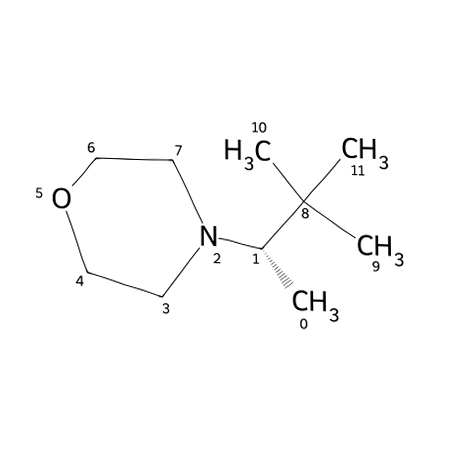 C[C@H](N1CCOCC1)C(C)(C)C